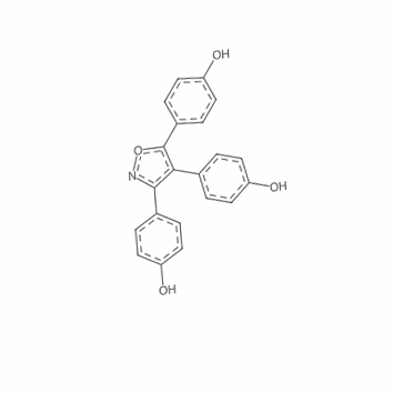 Oc1ccc(-c2noc(-c3ccc(O)cc3)c2-c2ccc(O)cc2)cc1